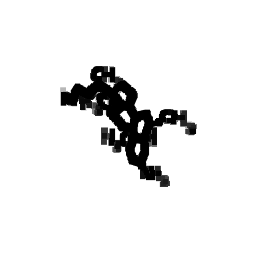 CC[C@H]1CC2C3CC[C@H]([C@H](C)CCCI)[C@@]3(C)CCC2[C@@]2(C)CCC(N)C[C@@H]12